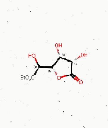 CCOC(=O)[C@@H](O)[C@H]1OC(=O)[C@@H](O)[C@H]1O